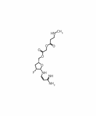 CNCCC(=O)OCC(=O)OC[C@@H]1C[C@H](F)[C@H](N/C=C\C(=N)N)O1